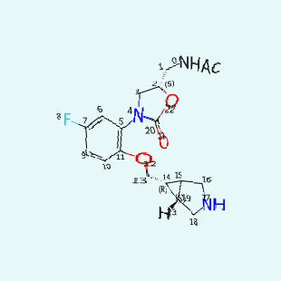 CC(=O)NC[C@H]1CN(c2cc(F)ccc2OC[C@@H]2C3CNC[C@@H]32)C(=O)O1